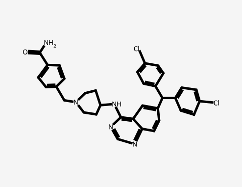 NC(=O)c1ccc(CN2CCC(Nc3ncnc4ccc(C(c5ccc(Cl)cc5)c5ccc(Cl)cc5)cc34)CC2)cc1